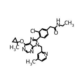 CCNC(=O)Cc1ccc(-c2nc3c(OC4(C)CC4)ncnc3n2Cc2cc(C)ccn2)c(Cl)c1